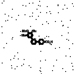 COc1c(C(C)(C)C)cc(-c2cccc(C3=CCN(C(=O)O)CC3)n2)cc1C(C)(C)C